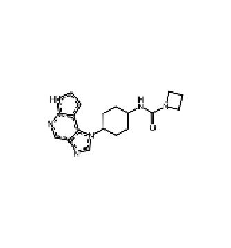 O=C(NC1CCC(n2cnc3cnc4[nH]ccc4c32)CC1)N1CCC1